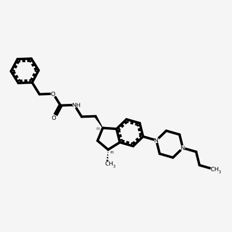 CCCN1CCN(c2ccc3c(c2)[C@H](C)C[C@H]3CCNC(=O)OCc2ccccc2)CC1